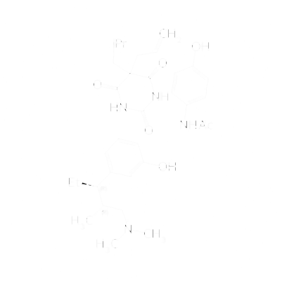 C=CCC1(CC(C)C)C(=O)NC(=O)NC1=O.CC(=O)Nc1ccc(O)cc1.CC[C@@H](c1cccc(O)c1)[C@@H](C)CN(C)C